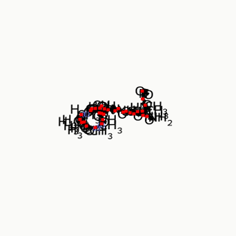 CO[C@H]1/C=C/O[C@@]2(C)Oc3c(C)c(O)c4c(=O)c(c5oc6cc(N7CCN(CCNC(=O)OCc8ccc(NC(=O)[C@H](CCCNC(N)=O)NC(=O)[C@@H](NC(=O)CCCCCN9C(=O)C=CC9=O)C(C)C)cc8)CC7)cc(O)c6nc-5c4c3C2=O)NC(=O)/C(C)=C\C=C\[C@H](C)[C@H](O)[C@@H](C)[C@@H](O)[C@@H](C)[C@H](OC(C)=O)[C@@H]1C